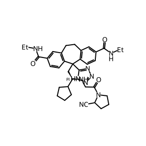 CCNC(=O)c1ccc2c(c1)CCc1cc(C(=O)NCC)ccc1C2(C[C@@H](NCC(=O)N1CCCC1C#N)C1CCCC1)c1nnn[nH]1